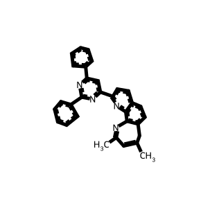 CC1=CC(C)=Nc2c(ccc3ccc(-c4cc(-c5ccccc5)nc(-c5ccccc5)n4)nc23)C1